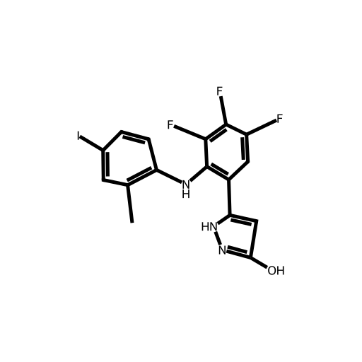 Cc1cc(I)ccc1Nc1c(-c2cc(O)n[nH]2)cc(F)c(F)c1F